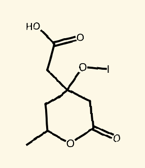 CC1CC(CC(=O)O)(OI)CC(=O)O1